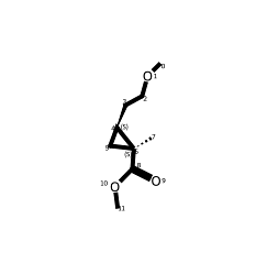 COCC[C@@H]1C[C@]1(C)C(=O)OC